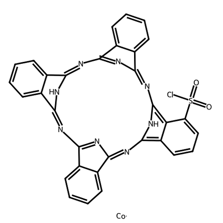 O=S(=O)(Cl)c1cccc2c3nc4nc(nc5[nH]c(nc6nc(nc([nH]3)c12)-c1ccccc1-6)c1ccccc51)-c1ccccc1-4.[Co]